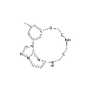 Cc1cc2cc(c1)-c1cnn3ccc(nc13)NCCCNCCO2